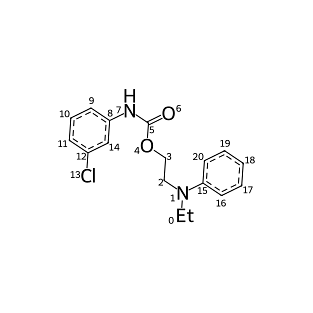 CCN(CCOC(=O)Nc1cccc(Cl)c1)c1ccccc1